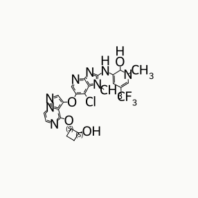 CN1C=C(C(F)(F)F)C=C(Nc2nc3ncc(Oc4cnn5ccnc(O[C@H]6CC[C@@H]6O)c45)c(Cl)c3n2C)C1O